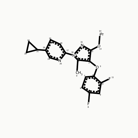 Cc1c(Oc2ccc(F)cc2F)c(OC(C)C)nn1-c1ccc(C2CC2)cn1